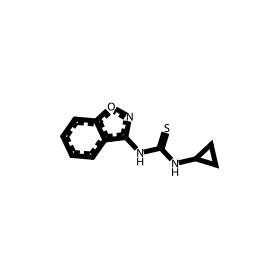 S=C(Nc1noc2ccccc12)NC1CC1